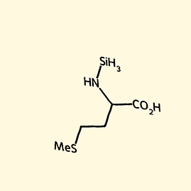 CSCCC(N[SiH3])C(=O)O